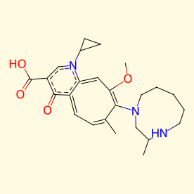 COC1=C(N2CCCCCNC(C)C2)/C(C)=C\C=c2\c(=O)c(C(=O)O)cn(C3CC3)\c2=C\1